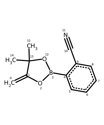 C=C1OB(c2ccccc2C#N)OC1(C)C